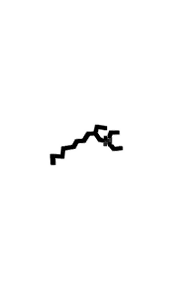 C=CCCCCCCC(CC)CN(CC)CC